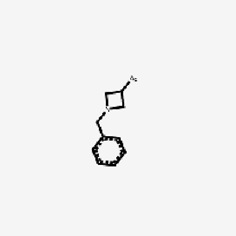 CC(=O)C1CN(Cc2ccccc2)C1